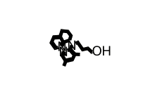 Cc1cnc(N(CCCCO)C2CCCc3cccnc32)c(C)c1